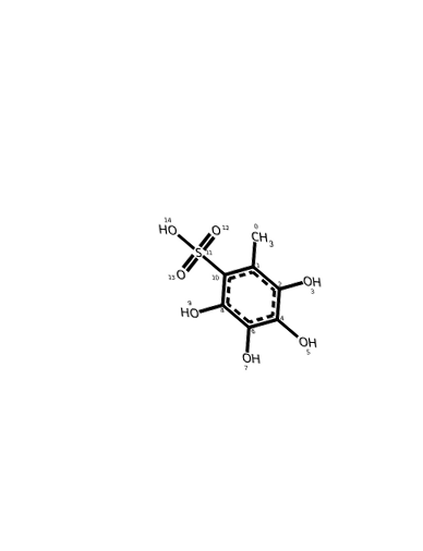 Cc1c(O)c(O)c(O)c(O)c1S(=O)(=O)O